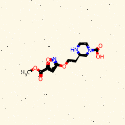 COC(=O)c1cc(OCC[C@@H]2CN(C(=O)O)CCN2)no1